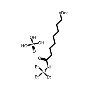 CCCCCCCCCCCCCCCCCC(=O)N[N+](CC)(CC)CC.O=P(O)(O)O